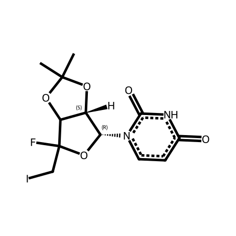 CC1(C)OC2[C@H](O1)[C@H](n1ccc(=O)[nH]c1=O)OC2(F)CI